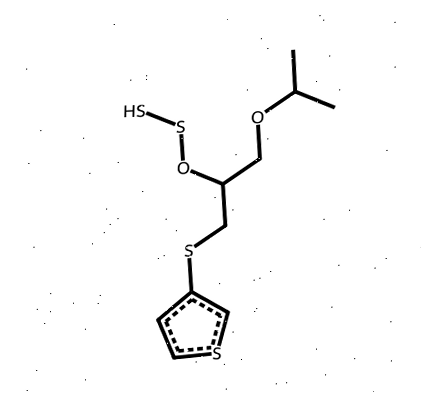 CC(C)OCC(CSc1ccsc1)OSS